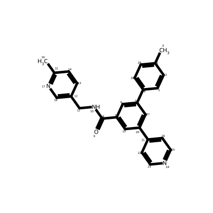 Cc1ccc(-c2cc(C(=O)NCc3ccc(C)nc3)cc(-c3ccncc3)c2)cc1